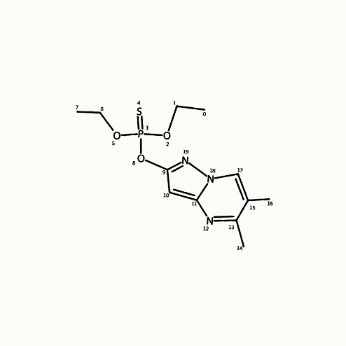 CCOP(=S)(OCC)Oc1cc2nc(C)c(C)cn2n1